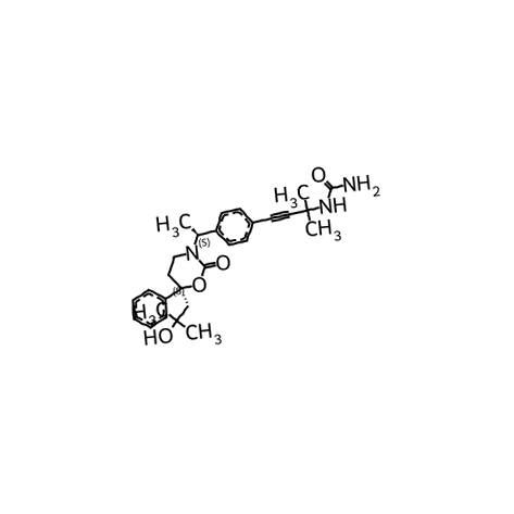 C[C@@H](c1ccc(C#CC(C)(C)NC(N)=O)cc1)N1CC[C@](CC(C)(C)O)(c2ccccc2)OC1=O